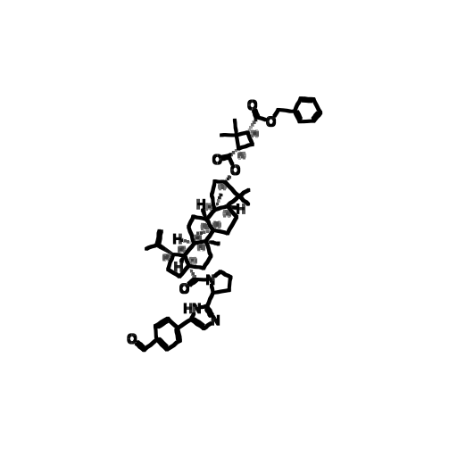 C=C(C)[C@@H]1CC[C@]2(C(=O)N3CCCC3c3ncc(-c4ccc(C=O)cc4)[nH]3)CC[C@]3(C)[C@H](CC[C@@H]4[C@@]5(C)CC[C@H](OC(=O)[C@H]6C[C@@H](C(=O)OCc7ccccc7)C6(C)C)C(C)(C)[C@@H]5CC[C@]43C)[C@@H]12